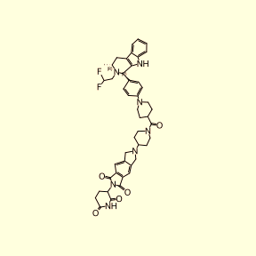 C[C@@H]1Cc2c([nH]c3ccccc23)[C@@H](c2ccc(N3CCC(C(=O)N4CCC(N5Cc6cc7c(cc6C5)C(=O)N(C5CCC(=O)NC5=O)C7=O)CC4)CC3)cc2)N1CC(F)F